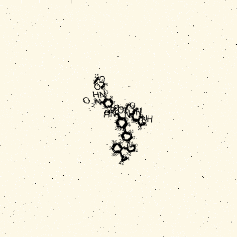 O=C(NS(=O)(=O)c1ccc(NC[C@H]2COCCO2)c([N+](=O)[O-])c1)c1ccc(-c2ccc(N3CCCC3c3ccccc3C3CC3)cc2)cc1N1CCOc2nc3[nH]ccc3cc21